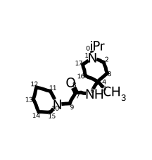 CC(C)N1CCC(C)(NC(=O)CN2CCCCC2)CC1